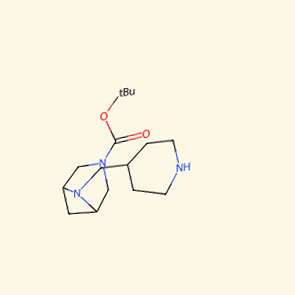 CC(C)(C)OC(=O)N1CC2CC(C1)N2CC1CCNCC1